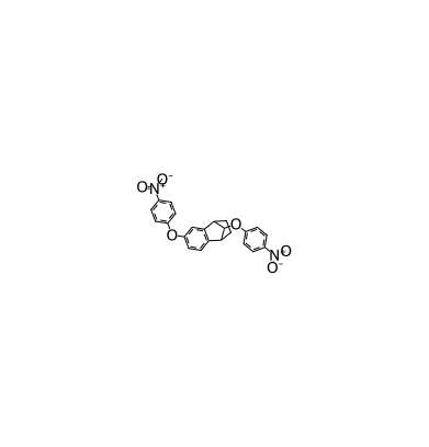 O=[N+]([O-])c1ccc(Oc2ccc3c(c2)C2CCC3C2Oc2ccc([N+](=O)[O-])cc2)cc1